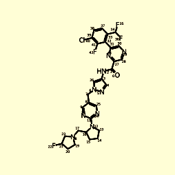 O=C(Nc1cnn(Cc2cnc(N3CCCC3CN3CCC(F)C3)nc2)c1)c1cncc(-c2c(C(F)F)ccc(Cl)c2F)n1